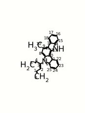 C=C/C=C(\C=C)N1c2cc(C)c3c([nH]c4ccccc43)c2C2C=CC=CC21